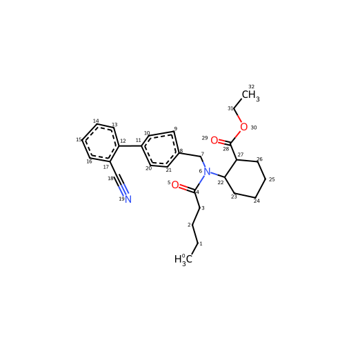 CCCCC(=O)N(Cc1ccc(-c2ccccc2C#N)cc1)C1CCCCC1C(=O)OCC